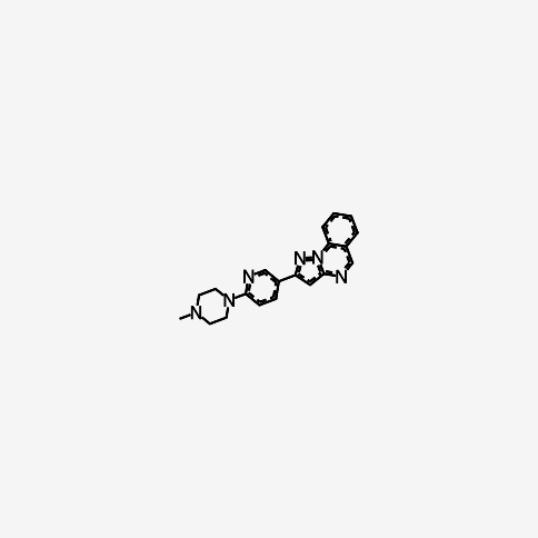 CN1CCN(c2ccc(-c3cc4ncc5ccccc5n4n3)cn2)CC1